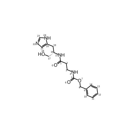 O=C(CCNC(=O)OCc1ccccc1)N[C@H](CO)Cc1cnc[nH]1